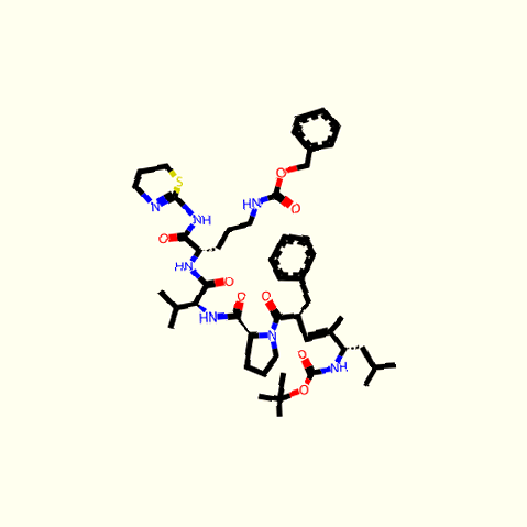 C/C(=C\[C@H](Cc1ccccc1)C(=O)N1CCC[C@H]1C(=O)N[C@H](C(=O)N[C@@H](CCCNC(=O)OCc1ccccc1)C(=O)NC1=NCCCS1)C(C)C)[C@H](CC(C)C)NC(=O)OC(C)(C)C